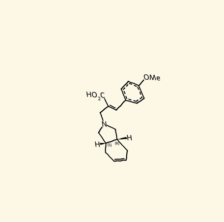 COc1ccc(C=C(CN2C[C@H]3CC=CC[C@H]3C2)C(=O)O)cc1